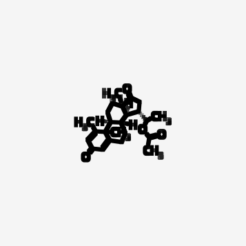 CC(=O)OC(C)[C@H]1CC(=O)[C@@]2(C)CC[C@H]3[C@@H](CCC4=CC(=O)C=C(C)[C@@]43C)[C@H]12